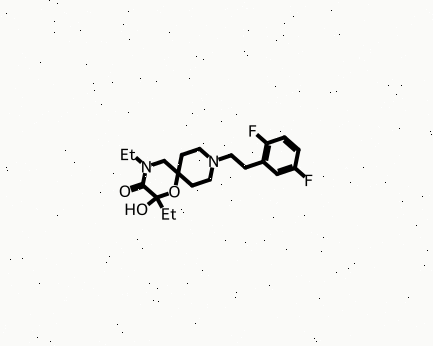 CCN1CC2(CCN(CCc3cc(F)ccc3F)CC2)OC(O)(CC)C1=O